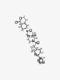 O=C1OCCc2cc([C@H]3CN4CCN(C(=O)C5CCc6nc(-n7cnnn7)ccc65)C[C@@H]4CO3)ccc21